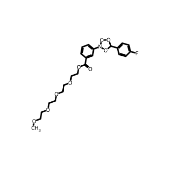 COCCOCCOCCOCCOC(=O)c1cccc(N2OOC(c3ccc(F)cc3)O2)c1